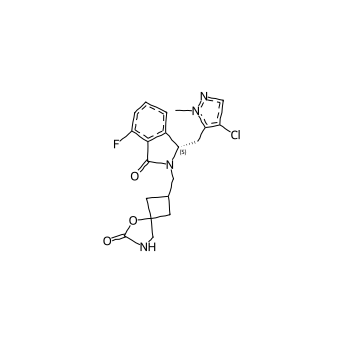 Cn1ncc(Cl)c1C[C@H]1c2cccc(F)c2C(=O)N1CC1CC2(CNC(=O)O2)C1